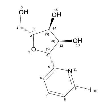 OC[C@H]1O[C@@H](c2cccc(I)n2)[C@H](O)[C@@H]1O